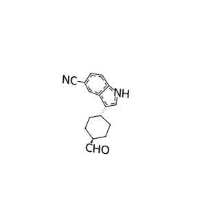 N#Cc1ccc2[nH]cc([C@H]3CC[C@H](C=O)CC3)c2c1